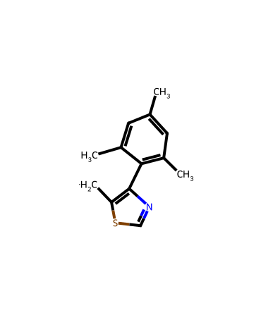 [CH2]c1scnc1-c1c(C)cc(C)cc1C